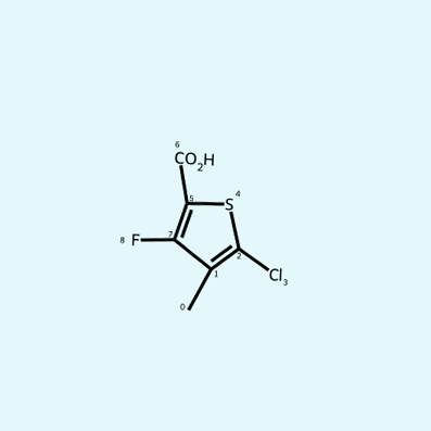 Cc1c(Cl)sc(C(=O)O)c1F